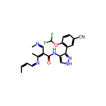 C\C=C/C=N\C(C)=C(\C=N/C)C(=O)Nc1c[nH]nc1-c1cc(C#N)ccc1OC(F)F